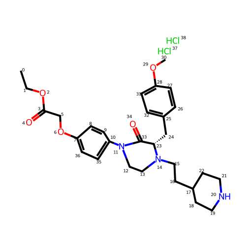 CCOC(=O)COc1ccc(N2CCN(CCC3CCNCC3)[C@@H](Cc3ccc(OC)cc3)C2=O)cc1.Cl.Cl